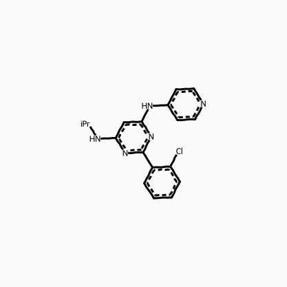 CC(C)Nc1cc(Nc2ccncc2)nc(-c2ccccc2Cl)n1